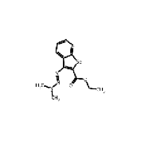 CCOC(=O)c1[se]c2ncccc2c1N=NN(C)C